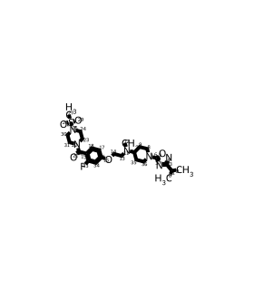 CC(C)c1noc(N2CCC(N(C)CCOc3ccc(C(=O)N4CCN(S(C)(=O)=O)CC4)c(F)c3)CC2)n1